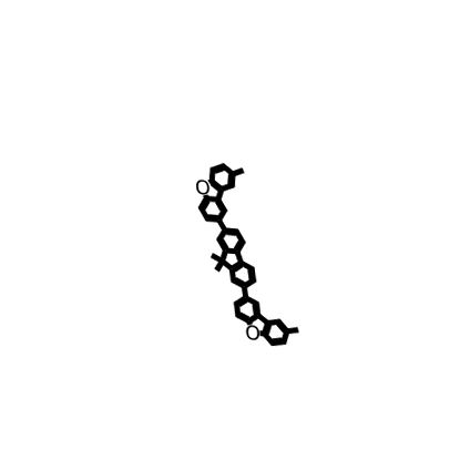 Cc1ccc2oc3ccc(-c4ccc5c(c4)C(C)(C)c4cc(-c6ccc7oc8ccc(C)cc8c7c6)ccc4-5)cc3c2c1